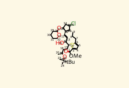 COC(=O)c1ccc(CCC[C@@H]2[C@@H](C=C[C@@H](O)CCC[C@H](C)O[Si](C)(C)C(C)(C)C)[C@H](OC3CCCCO3)C[C@H]2Cl)s1